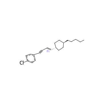 CCCCC[C@H]1CC[C@H](/C=C/C#Cc2ccc(Cl)cc2)CC1